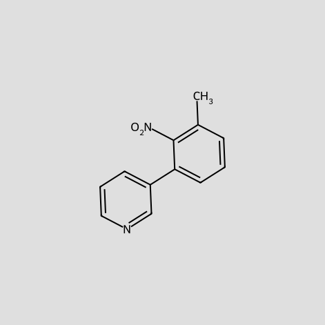 Cc1cccc(-c2cccnc2)c1[N+](=O)[O-]